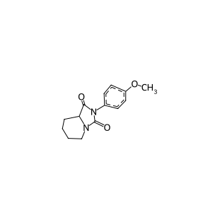 COc1ccc(N2C(=O)C3CCCCN3C2=O)cc1